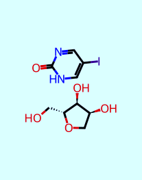 O=c1ncc(I)c[nH]1.OC[C@H]1OC[C@H](O)[C@@H]1O